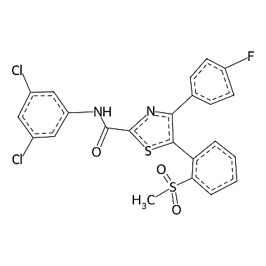 CS(=O)(=O)c1ccccc1-c1sc(C(=O)Nc2cc(Cl)cc(Cl)c2)nc1-c1ccc(F)cc1